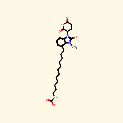 Cn1c(=O)n(C2CCC(=O)NC2=O)c2cccc(CCCCCCCCCCCCNC(=O)O)c21